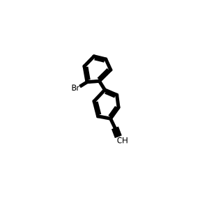 C#Cc1ccc(-c2ccccc2Br)cc1